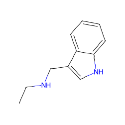 CCNCc1c[nH]c2ccccc12